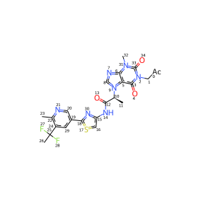 CC(=O)Cn1c(=O)c2c(ncn2[C@@H](C)C(=O)Nc2csc(-c3cnc(C)c(C(C)(F)F)c3)n2)n(C)c1=O